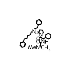 CN[C@@H](C)C(=O)N[C@H](C(=O)N1CCC[C@H]1CN(CCCCCc1ccccc1)CCc1ccccc1)C1CCCCC1